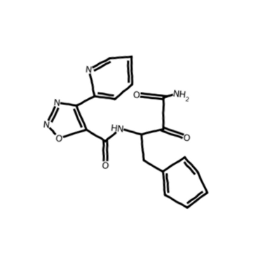 NC(=O)C(=O)C(Cc1ccccc1)NC(=O)c1onnc1-c1ccccn1